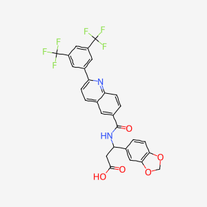 O=C(O)CC(NC(=O)c1ccc2nc(-c3cc(C(F)(F)F)cc(C(F)(F)F)c3)ccc2c1)c1ccc2c(c1)OCO2